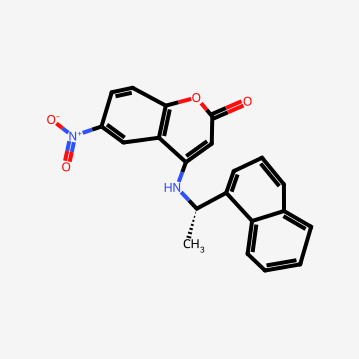 C[C@H](Nc1cc(=O)oc2ccc([N+](=O)[O-])cc12)c1cccc2ccccc12